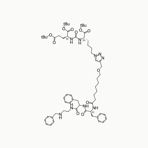 CC(C)(C)OC(=O)CC[C@H](NC(=O)N[C@@H](CCCCn1cc(COCCCCCCCC(=O)N[C@@H](Cc2ccccc2)C(=O)NC(Cc2ccccc2)C(=O)NCCNCc2ccccc2)nn1)C(=O)OC(C)(C)C)C(=O)OC(C)(C)C